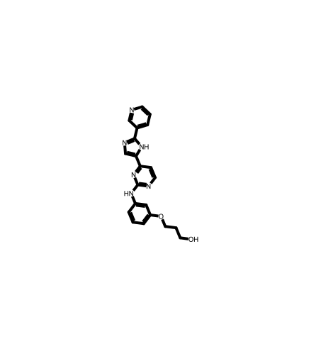 OCCCOc1cccc(Nc2nccc(-c3cnc(-c4cccnc4)[nH]3)n2)c1